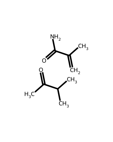 C=C(C)C(N)=O.CC(=O)C(C)C